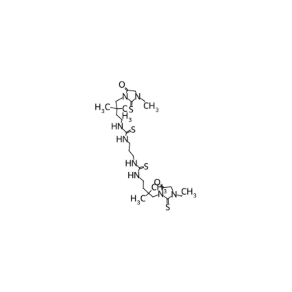 CCN1CC(=O)N(CC(C)(C)CCNC(=S)NCCCNC(=S)NCCC(C)(C)CN2C(=O)CN(CC)C2=S)C1=S